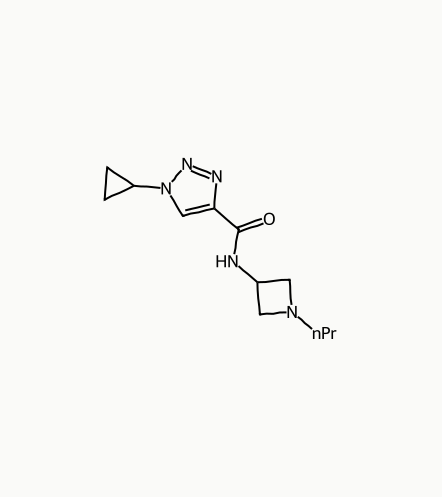 CCCN1CC(NC(=O)c2cn(C3CC3)nn2)C1